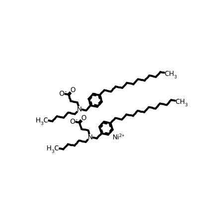 CCCCCCCCCCCCc1ccc(CN(CCCCCC)CCC(=O)[O-])cc1.CCCCCCCCCCCCc1ccc(CN(CCCCCC)CCC(=O)[O-])cc1.[Ni+2]